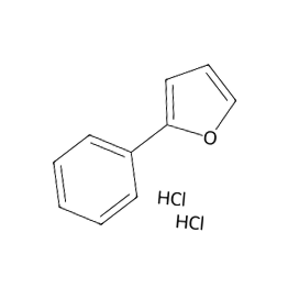 Cl.Cl.c1ccc(-c2ccco2)cc1